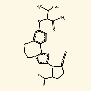 COC(C)C(Nc1ccc2c(c1)OCCn1cc(N3C(=C=O)OC[C@H]3C(F)F)nc1-2)C(N)=O